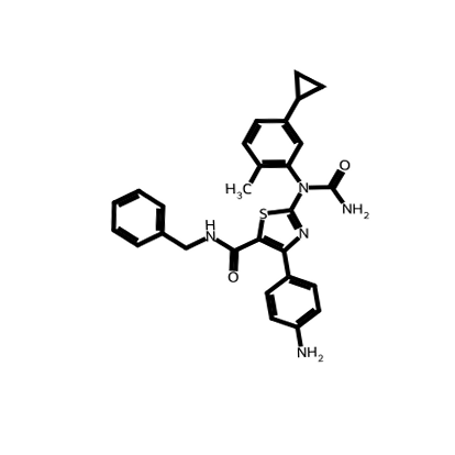 Cc1ccc(C2CC2)cc1N(C(N)=O)c1nc(-c2ccc(N)cc2)c(C(=O)NCc2ccccc2)s1